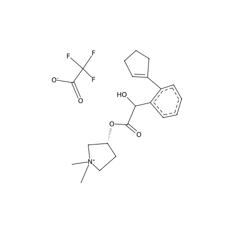 C[N+]1(C)CC[C@@H](OC(=O)C(O)c2ccccc2C2=CCCC2)C1.O=C([O-])C(F)(F)F